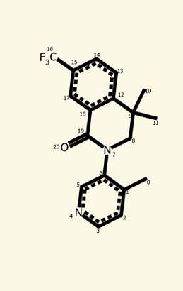 Cc1ccncc1N1CC(C)(C)c2ccc(C(F)(F)F)cc2C1=O